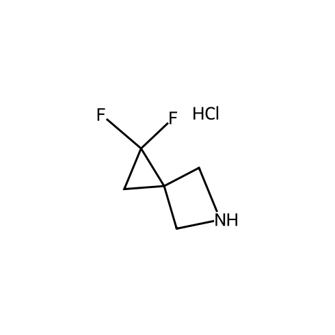 Cl.FC1(F)CC12CNC2